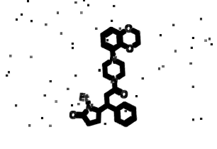 CCN1C(=O)CCC1C(CC(=O)N1CCN(c2cccc3c2OCCO3)CC1)c1ccccc1